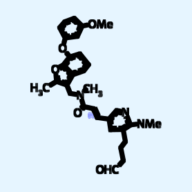 CNc1ncc(/C=C/C(=O)N(C)Cc2c(C)oc3c(Oc4cccc(OC)c4)cccc23)cc1CCCC=O